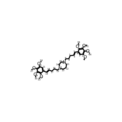 COc1cc(/C=C/CCCN2CCCN(CCC/C=C/c3cc(OC)c(OC)c(OC)c3OC)CC2)c(OC)c(OC)c1OC